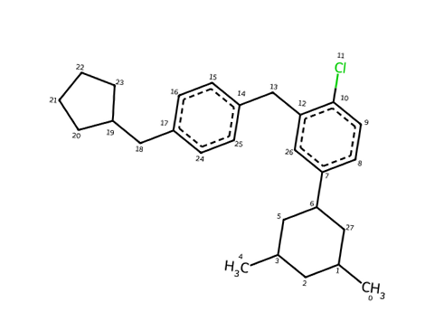 CC1CC(C)CC(c2ccc(Cl)c(Cc3ccc(CC4CCCC4)cc3)c2)C1